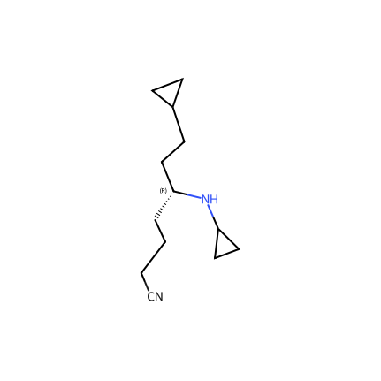 N#CCCC[C@H](CCC1CC1)NC1CC1